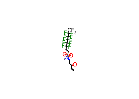 C=CC(=O)CCN(C)S(=O)(=O)CCC(F)(F)C(F)(F)C(F)(F)C(F)(F)C(F)(F)C(F)(F)F